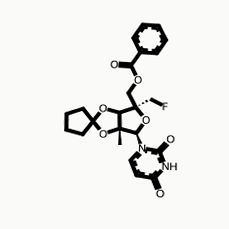 C[C@@]12OC3(CCCC3)OC1[C@@](CF)(COC(=O)c1ccccc1)O[C@H]2n1ccc(=O)[nH]c1=O